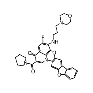 O=C(c1cn2c3c(c(NCCCN4CCOCC4)c(F)cc3c1=O)Oc1cc3c(cc1-2)oc1ccccc13)N1CCCCC1